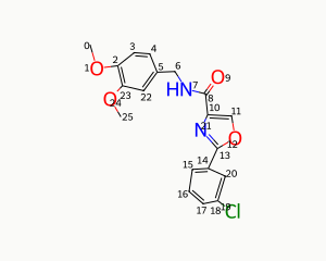 COc1ccc(CNC(=O)c2coc(-c3cccc(Cl)c3)n2)cc1OC